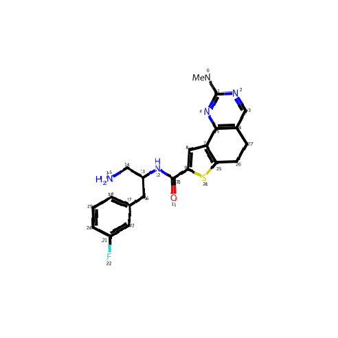 CNc1ncc2c(n1)-c1cc(C(=O)NC(CN)Cc3cccc(F)c3)sc1CC2